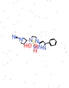 N#CN1CC[C@@H](N2CCN(c3cc(-c4ccccc4)n[nH]3)S2(O)O)C1